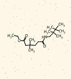 CCOC(=O)CC(C)(C)CCC(=O)NCC(C)(C)C(C)(C)C